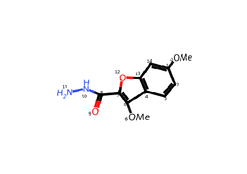 COc1ccc2c(OC)c(C(=O)NN)oc2c1